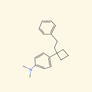 CN(C)c1ccc(C2(CCc3ccccc3)CCC2)cc1